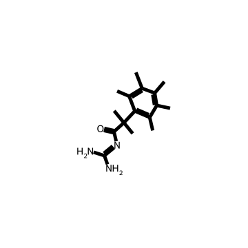 Cc1c(C)c(C)c(C(C)(C)C(=O)N=C(N)N)c(C)c1C